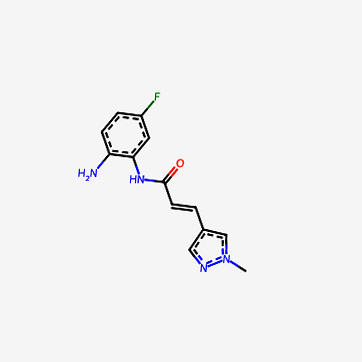 Cn1cc(C=CC(=O)Nc2cc(F)ccc2N)cn1